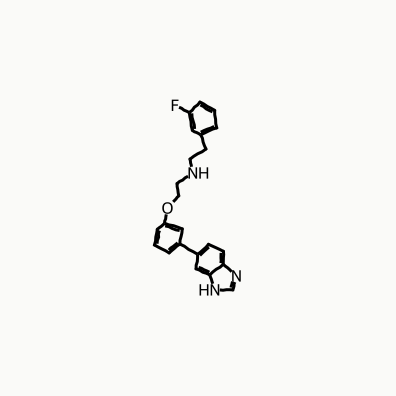 Fc1cccc(CCNCCOc2cccc(-c3ccc4nc[nH]c4c3)c2)c1